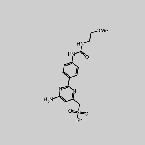 COCCNC(=O)Nc1ccc(-c2nc(N)cc(CS(=O)(=O)C(C)C)n2)cc1